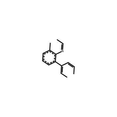 C/C=C\C(=C/C)c1cccc(C)c1/N=C\C